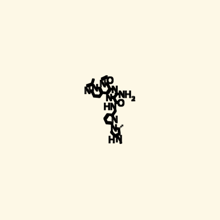 Cc1cnc2ccc(-c3nc(C(=O)NCc4cccc(N5C[C@H]6C([C@H]5C)N6C)n4)c(N)nc3-c3ncco3)cn12